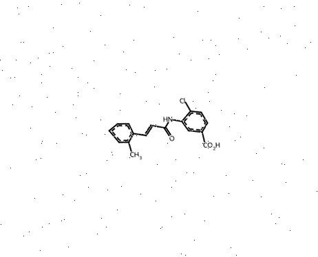 Cc1ccccc1C=CC(=O)Nc1cc(C(=O)O)ccc1Cl